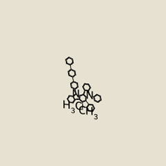 CC1(C)c2ccccc2-c2c1c1c3ccccc3n(-c3ccc(-c4ccc(-c5ccccc5)cc4)cc3)c1c1c3ccccc3n(-c3ccccc3)c21